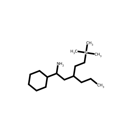 CCCC(CC[Si](C)(C)C)CC(N)C1CCCCC1